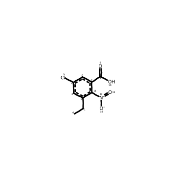 CCc1cc(Cl)cc(C(=O)O)c1[N+](=O)[O-]